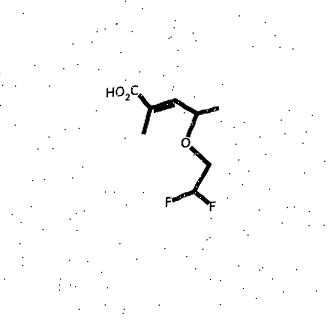 CC(=CC(C)OCC(F)F)C(=O)O